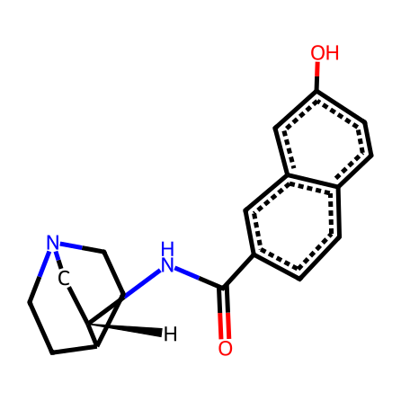 O=C(N[C@H]1CN2CCC1CC2)c1ccc2ccc(O)cc2c1